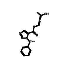 CC(O)=C=COC(=O)c1cncn1[C@H](C)c1ccccc1